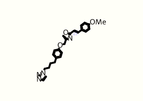 COc1ccc(/C=C/c2nc(COc3ccc(CCCCn4ccnn4)cc3)co2)cc1